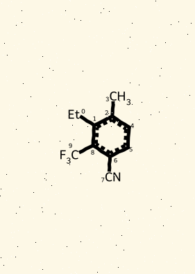 CCc1c(C)ccc(C#N)c1C(F)(F)F